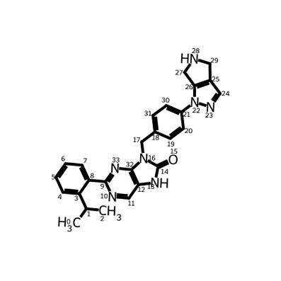 CC(C)c1ccccc1-c1ncc2[nH]c(=O)n(Cc3ccc(-n4ncc5c4CNC5)cc3)c2n1